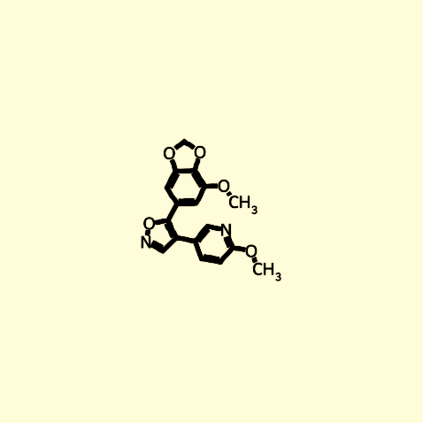 COc1ccc(-c2cnoc2-c2cc(OC)c3c(c2)OCO3)cn1